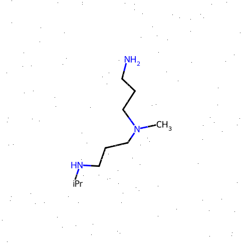 CC(C)NCCCN(C)CCCN